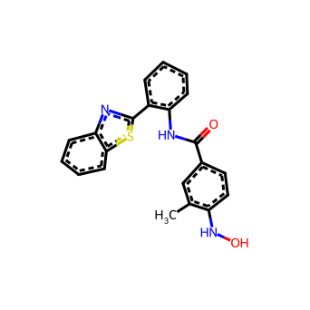 Cc1cc(C(=O)Nc2ccccc2-c2nc3ccccc3s2)ccc1NO